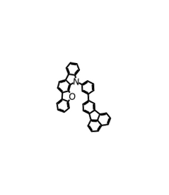 c1cc(-c2ccc3c(c2)-c2cccc4cccc-3c24)cc(-n2c3ccccc3c3ccc4c5ccccc5oc4c32)c1